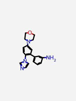 Nc1cccc(-c2cc(N3CCOCC3)ccc2-n2ccnc2)c1